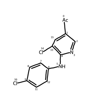 CC(=O)c1cnc(Nc2ccc(Cl)cc2)c(Cl)c1